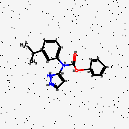 CC(C)c1cccc(N(C(=O)Oc2ccccc2)c2ccn[nH]2)c1